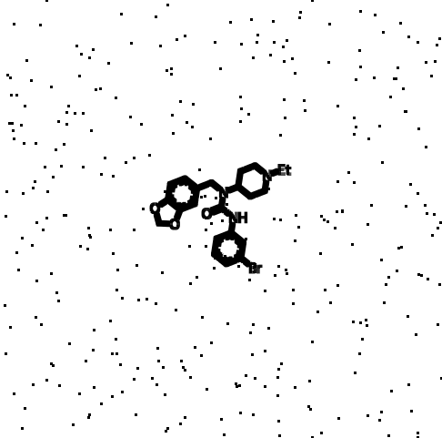 CCN1CCC(N(Cc2ccc3c(c2)OCO3)C(=O)Nc2cccc(Br)c2)CC1